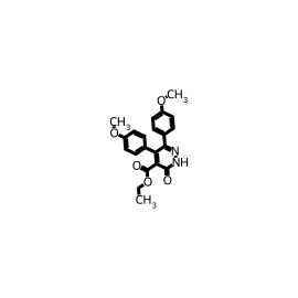 CCOC(=O)c1c(-c2ccc(OC)cc2)c(-c2ccc(OC)cc2)n[nH]c1=O